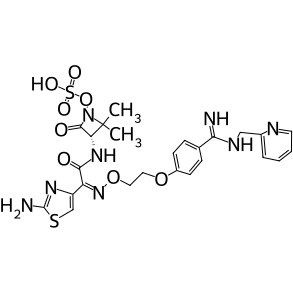 CC1(C)[C@H](NC(=O)/C(=N\OCCOc2ccc(C(=N)NCc3ccccn3)cc2)c2csc(N)n2)C(=O)N1OS(=O)(=O)O